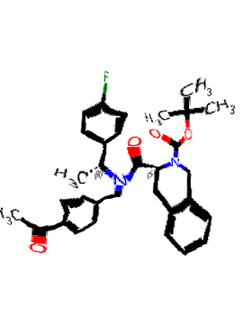 CC(=O)c1ccc(CN(C(=O)[C@@H]2Cc3ccccc3CN2C(=O)OC(C)(C)C)[C@H](C)c2ccc(F)cc2)cc1